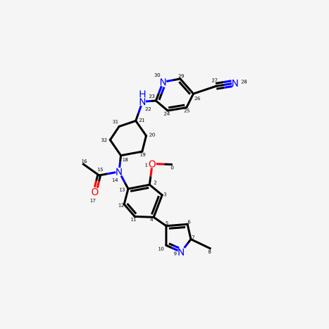 COc1cc(C2=CC(C)N=C2)ccc1N(C(C)=O)C1CCC(Nc2ccc(C#N)cn2)CC1